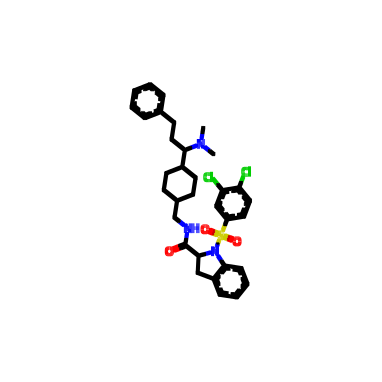 CN(C)C(CCc1ccccc1)C1CCC(CNC(=O)C2Cc3ccccc3N2S(=O)(=O)c2ccc(Cl)c(Cl)c2)CC1